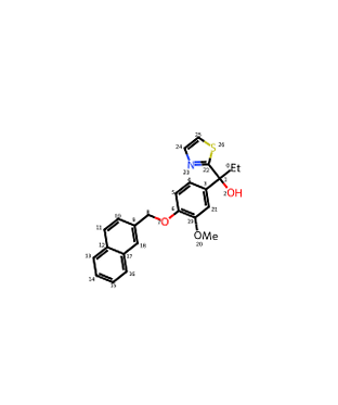 CCC(O)(c1ccc(OCc2ccc3ccccc3c2)c(OC)c1)c1nccs1